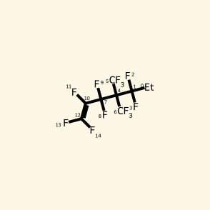 CCC(F)(F)C(C(F)(F)F)(C(F)(F)F)C(F)(F)C(F)=C(F)F